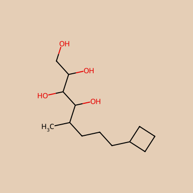 CC(CCCC1CCC1)C(O)C(O)C(O)CO